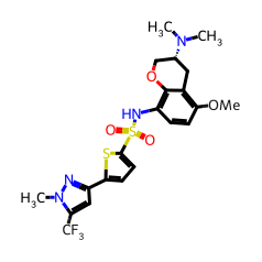 COc1ccc(NS(=O)(=O)c2ccc(-c3cc(C(F)(F)F)n(C)n3)s2)c2c1C[C@@H](N(C)C)CO2